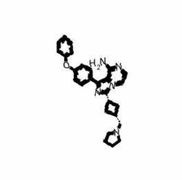 Nc1nccn2c1c(-c1ccc(Oc3ccccc3)cc1)nc2[C@H]1C[C@@H](CN2CCCC2)C1